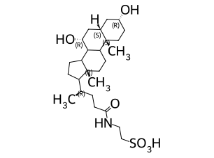 C[C@H](CCC(=O)NCCS(=O)(=O)O)C1CCC2C3C(CC[C@@]21C)[C@@]1(C)CC[C@@H](O)C[C@H]1C[C@H]3O